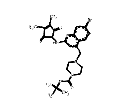 CC1=C(C)C(=O)C(Nc2cc(CN3CCN(C(=O)OC(C)(C)C)CC3)c3ccc(Br)cc3n2)C1=O